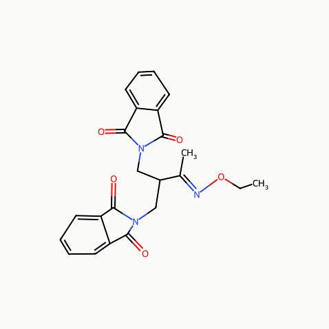 CCON=C(C)C(CN1C(=O)c2ccccc2C1=O)CN1C(=O)c2ccccc2C1=O